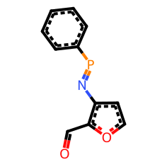 O=Cc1occc1/N=P/c1ccccc1